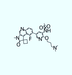 CN(C)CCCOc1ncc(-c2ccc3ncc4c(c3c2F)C2(CCC2)C(=O)N4C)cc1NS(C)(=O)=O